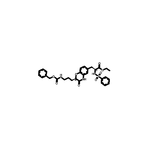 CCOC(=O)[C@H](Cc1ccc2c(c1)NC(=O)[C@@H](CCCNC(=O)OCc1ccccc1)O2)NS(=O)(=O)c1ccccc1